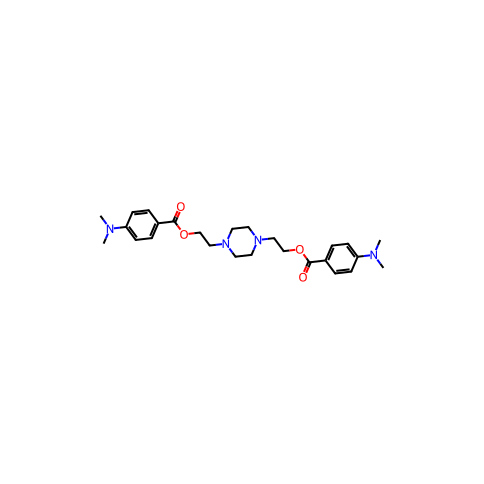 CN(C)c1ccc(C(=O)OCCN2CCN(CCOC(=O)c3ccc(N(C)C)cc3)CC2)cc1